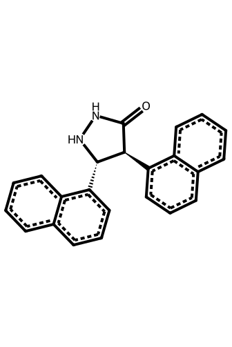 O=C1NN[C@@H](c2cccc3ccccc23)[C@@H]1c1cccc2ccccc12